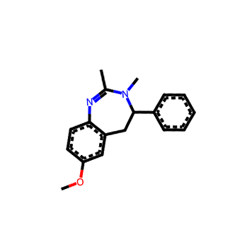 COc1ccc2c(c1)CC(c1ccccc1)N(C)C(C)=N2